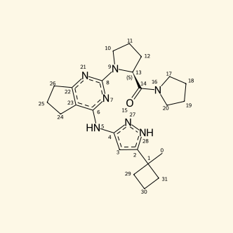 CC1(c2cc(Nc3nc(N4CCC[C@H]4C(=O)N4CCCC4)nc4c3CCC4)n[nH]2)CCC1